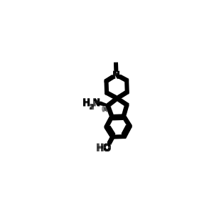 CN1CCC2(CC1)Cc1ccc(O)cc1[C@H]2N